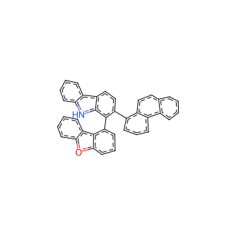 c1ccc2c(c1)ccc1c(-c3ccc4c([nH]c5ccccc54)c3-c3cccc4oc5ccccc5c34)cccc12